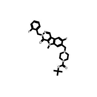 Cn1c2cc(CN3CCN(C(=O)OC(C)(C)C)CC3)c(F)cc2c2cnn(Cc3ccccc3F)c(=O)c21